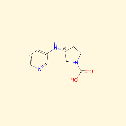 O=C(O)N1CC[C@@H](Nc2cccnc2)C1